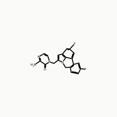 Nc1nccn(Cc2cc3cc(F)cc4c3n2Cc2ccc(F)cc2-4)c1=O